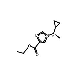 CCOC(=O)c1cn([C@H](C)C2CC2)cn1